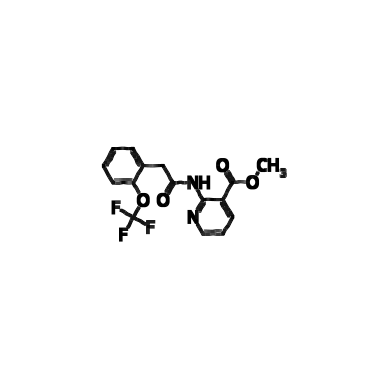 COC(=O)c1cccnc1NC(=O)Cc1ccccc1OC(F)(F)F